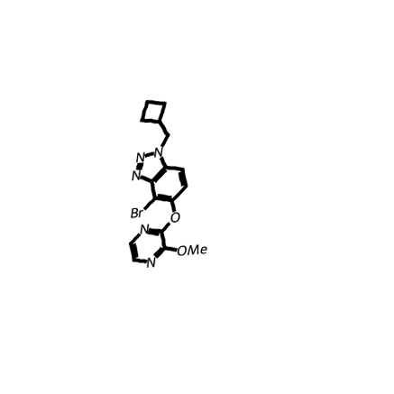 COc1nccnc1Oc1ccc2c(nnn2CC2CCC2)c1Br